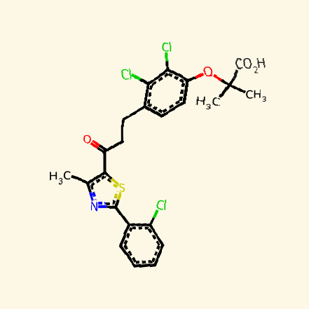 Cc1nc(-c2ccccc2Cl)sc1C(=O)CCc1ccc(OC(C)(C)C(=O)O)c(Cl)c1Cl